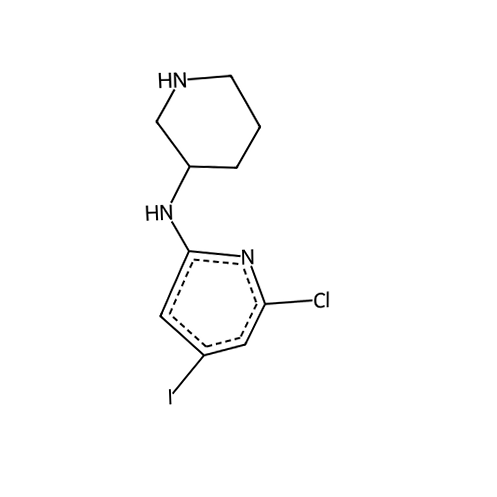 Clc1cc(I)cc(NC2CCCNC2)n1